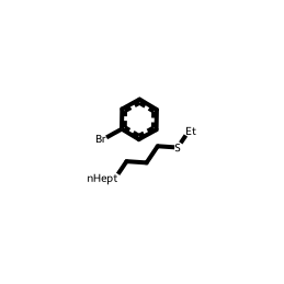 Brc1ccccc1.CCCCCCCCCCSCC